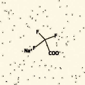 O=[13C]([O-])C(F)(F)F.[Na+]